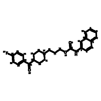 O=C(Nc1ccc2cccnc2c1)OCCCN1CCC(C(=O)c2ccc(F)cc2)CC1